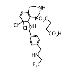 FC(F)(F)CNCc1ccc(CNC2C3=C(C=CC2(Cl)Cl)CCNCC3)cc1.O=C(O)CCC(=O)O